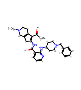 CCOC(=O)N1CCC2=C(CC(NC(=O)c3cccnc3NC3CCN(Cc4ccccc4)CC3)=C2C(=O)OC)C1